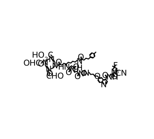 Cc1ccc(CCCC(=O)NCCCCCC(CCC(=O)CN2CCN(COC=O)CCN(COC=O)CCN(CC(=O)O)CC2)NC2CC(=O)N(CC(C)C(=O)N3CCN(CCCCOc4ccc5nccc(C(=O)NCC(=O)N6CC(C)(F)C[C@@H]6C#N)c5c4)CC3)C2=O)cc1